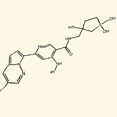 CC(C)Nc1cc(-c2ccc3cc(C#N)cnn23)ncc1C(=O)NCC1(O)CCS(O)(O)C1